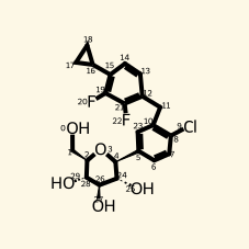 OC[C@H]1O[C@@H](c2ccc(Cl)c(Cc3ccc(C4CC4)c(F)c3F)c2)[C@H](O)[C@@H](O)[C@@H]1O